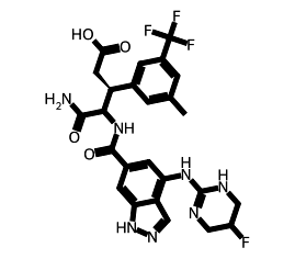 Cc1cc([C@H](CC(=O)O)C(NC(=O)c2cc(NC3=NCC(F)CN3)c3cn[nH]c3c2)C(N)=O)cc(C(F)(F)F)c1